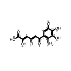 Nc1c(C(=O)C=C(Cl)C=C(O)C(=O)O)cc(Cl)c(O)c1O